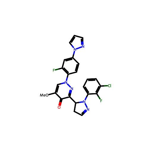 COc1cn(-c2ccc(-n3cccn3)cc2F)nc(C2CC=NN2c2cccc(Cl)c2F)c1=O